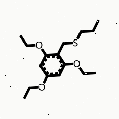 CCCSCc1c(OCC)cc(OCC)cc1OCC